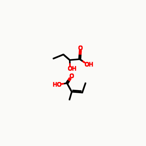 CC=C(C)C(=O)O.CCC(O)C(=O)O